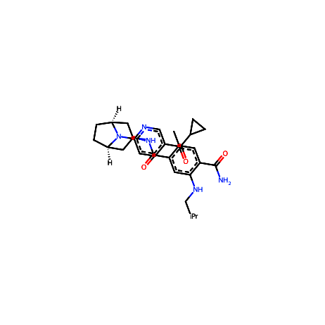 Cc1cc(C(N)=O)c(NCC(C)C)cc1C(=O)N[C@H]1C[C@H]2CC[C@@H](C1)N2c1ccc(C(=O)C2CC2)cn1